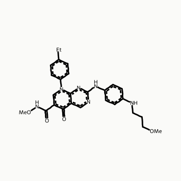 CCc1ccc(-n2cc(C(=O)NOC)c(=O)c3cnc(Nc4ccc(NCCCOC)cc4)nc32)cc1